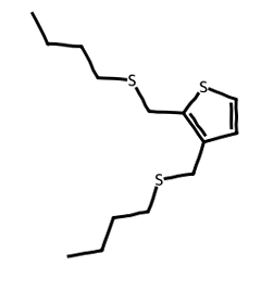 CCCCSCc1ccsc1CSCCCC